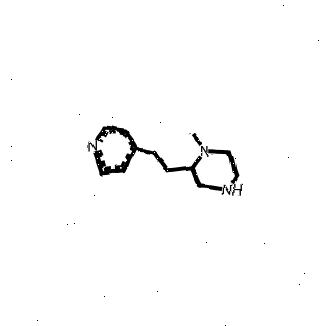 [CH2]N1CCNCC1CCc1ccncc1